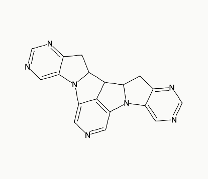 c1ncc2c(n1)CC1C3c4c(cncc4N4c5cncnc5CC34)N21